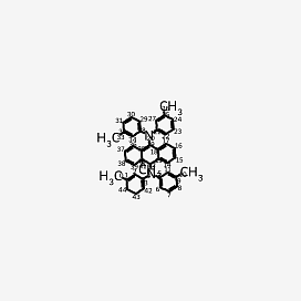 CC1=CC(N(c2cccc(C)c2)C2c3ccccc3C(N(c3cccc(C)c3)c3cccc(C)c3)=C3C=CC=CC32C)=CCC1